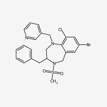 CS(=O)(=O)N1Cc2cc(Br)cc(Cl)c2N(Cc2cccnc2)CC1Cc1ccccc1